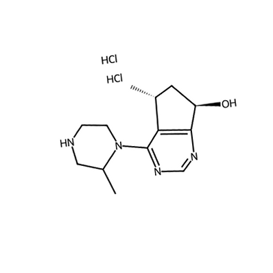 CC1CNCCN1c1ncnc2c1[C@H](C)C[C@H]2O.Cl.Cl